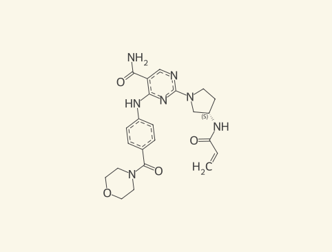 C=CC(=O)N[C@H]1CCN(c2ncc(C(N)=O)c(Nc3ccc(C(=O)N4CCOCC4)cc3)n2)C1